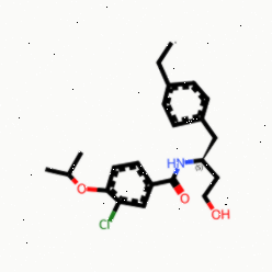 [CH2]Cc1ccc(C[C@@H](CCO)NC(=O)c2ccc(OC(C)C)c(Cl)c2)cc1